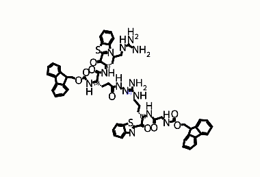 N/C(=N\NC(=O)CC[C@H](NC(=O)OCC1c2ccccc2-c2ccccc21)C(=O)N[C@@H](CCCNC(N)N)C(=O)c1nc2ccccc2s1)NCCC[C@H](NC(=O)CNC(=O)OCC1c2ccccc2-c2ccccc21)C(=O)c1nc2ccccc2s1